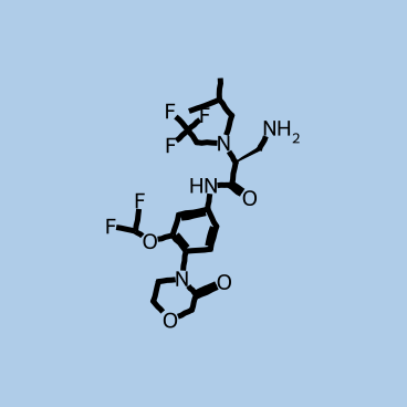 CC(C)CN(CC(F)(F)F)[C@@H](CN)C(=O)Nc1ccc(N2CCOCC2=O)c(OC(F)F)c1